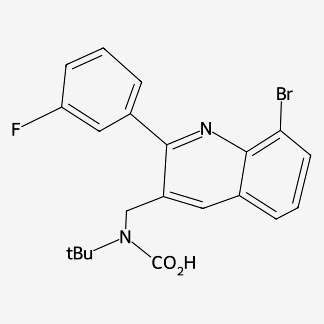 CC(C)(C)N(Cc1cc2cccc(Br)c2nc1-c1cccc(F)c1)C(=O)O